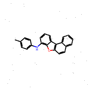 Cc1ccc(Nc2cccc3c2oc2ccc4ccccc4c23)cc1